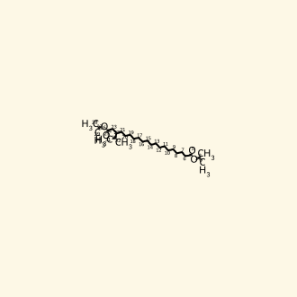 CC(C)OC(=O)CCCCCCCCCCCCCCCCC(CC(=O)OC(C)C)C(C)C